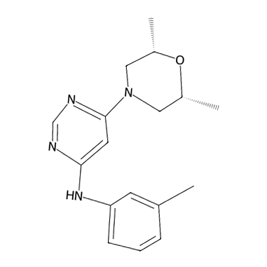 Cc1cccc(Nc2cc(N3C[C@@H](C)O[C@@H](C)C3)ncn2)c1